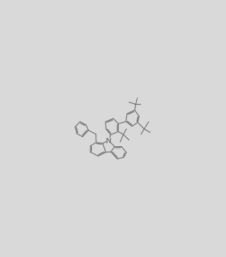 CC(C)(C)c1cc(-c2cccc(-n3c4ccccc4c4cccc(Cc5ccccc5)c43)c2C(C)(C)C)cc(C(C)(C)C)c1